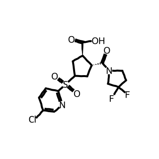 O=C(O)[C@@H]1CC(S(=O)(=O)c2ccc(Cl)cn2)C[C@H]1C(=O)N1CCC(F)(F)C1